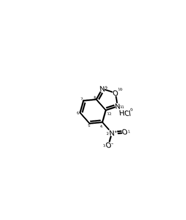 Cl.O=[N+]([O-])c1cccc2nonc12